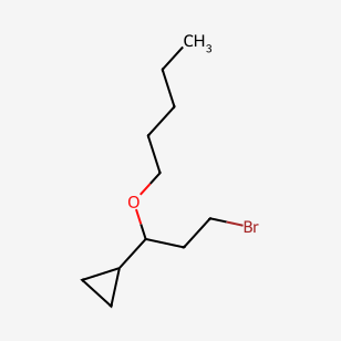 CCCCCOC(CCBr)C1CC1